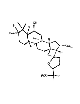 CC(=O)O[C@H]1C[C@@]2(C)[C@@H]3C[C@H](O)[C@H]4C(C)(C)C(F)(F)CC[C@@]45C[C@@]35CC[C@@]23C[C@@]2(CC[C@@H](C(C)(C)OC(C)=O)O2)[C@@H]13